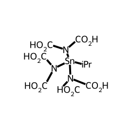 C[CH](C)[Sn]([N](C(=O)O)C(=O)O)([N](C(=O)O)C(=O)O)[N](C(=O)O)C(=O)O